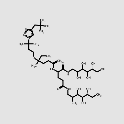 C=C(CCC(C)(CC)OCCC(C)(C)n1cc(CC(C)(C)C)nn1)NC(CCC(=O)NCC(C)C(O)C(O)[C@H](O)CC)C(=O)NCC(O)C(O)C(O)[C@H](O)CO